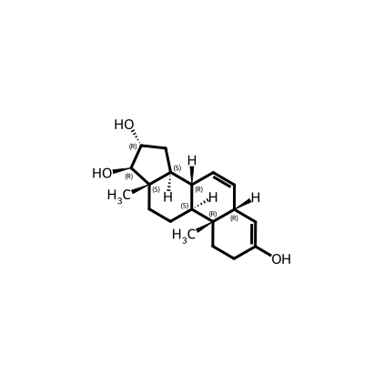 C[C@]12CCC(O)=C[C@H]1C=C[C@@H]1[C@@H]2CC[C@]2(C)[C@@H](O)[C@H](O)C[C@@H]12